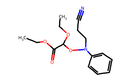 CCOC(=O)C(OCC)ON(CCC#N)c1ccccc1